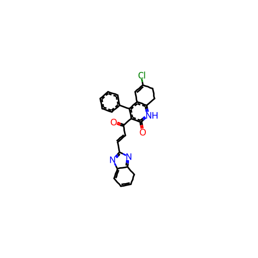 O=C(C=CC1=NC2=CC=CCC2=N1)c1c(-c2ccccc2)c2c([nH]c1=O)CCC(Cl)=C2